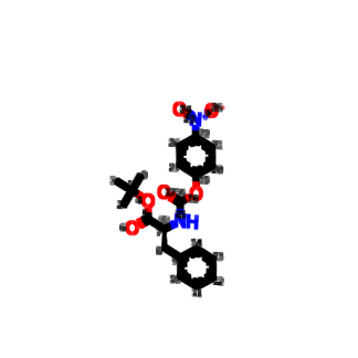 CC(C)(C)OC(=O)[C@H](Cc1ccccc1)NC(=O)Oc1ccc([N+](=O)[O-])cc1